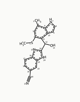 CSc1cc(C)c2[nH]ccc2c1C(O)c1nc2ccc(C#N)cc2[nH]1